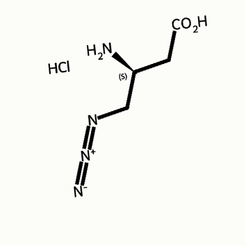 Cl.[N-]=[N+]=NC[C@@H](N)CC(=O)O